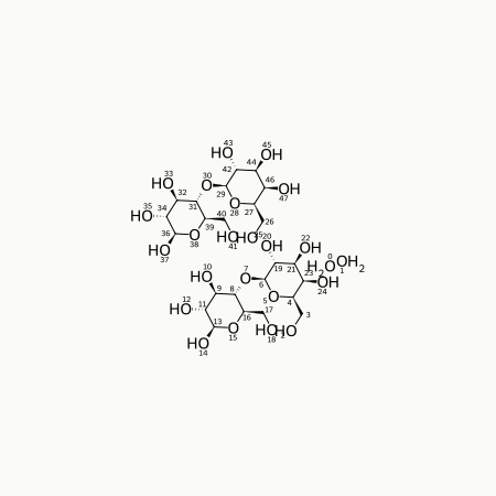 O.O.OC[C@H]1O[C@@H](O[C@H]2[C@H](O)[C@@H](O)[C@H](O)O[C@@H]2CO)[C@H](O)[C@@H](O)[C@H]1O.OC[C@H]1O[C@@H](O[C@H]2[C@H](O)[C@@H](O)[C@H](O)O[C@@H]2CO)[C@H](O)[C@@H](O)[C@H]1O